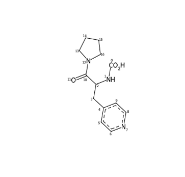 O=C(O)NC(Cc1ccncc1)C(=O)N1CCCC1